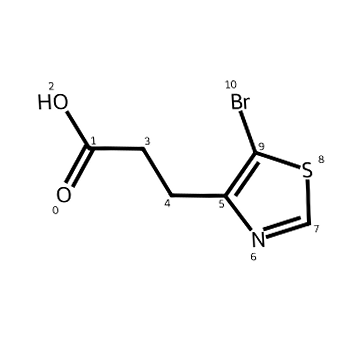 O=C(O)CCc1ncsc1Br